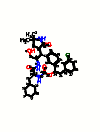 CC1(C)CC(CC(CO)NC(=O)[C@H](CC2CCCCC2)NC(=O)OC(Cc2cccc(Cl)c2)c2ccccc2)C(=O)N1